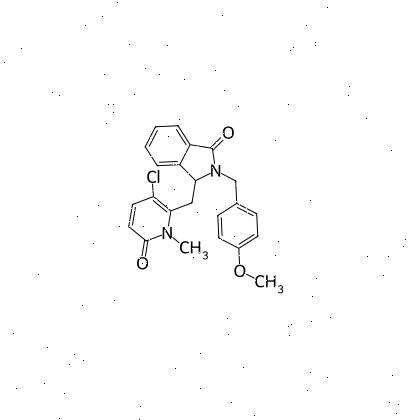 COc1ccc(CN2C(=O)c3ccccc3C2Cc2c(Cl)ccc(=O)n2C)cc1